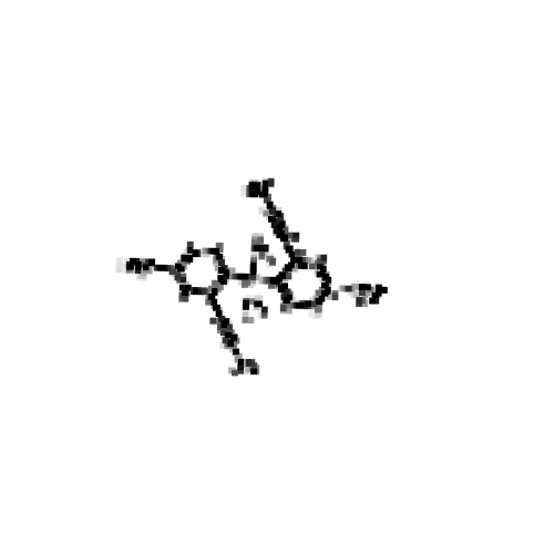 CCCCC#Cc1cc(C(=O)O)ccc1C(c1ccc(C(=O)O)cc1C#CCCCC)(C(F)(F)F)C(F)(F)F